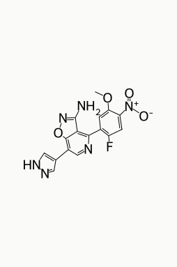 COc1cc(-c2ncc(-c3cn[nH]c3)c3onc(N)c23)c(F)cc1[N+](=O)[O-]